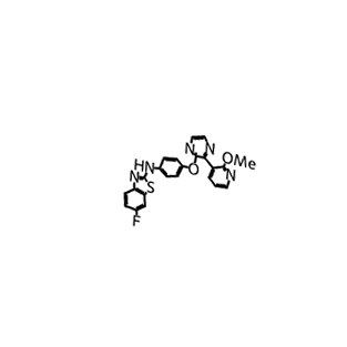 COc1ncccc1-c1nccnc1Oc1ccc(Nc2nc3ccc(F)cc3s2)cc1